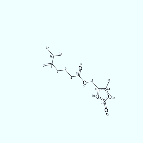 C=C(CCCC(=O)OCc1oc(=O)oc1C)C(C)C